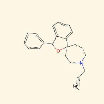 C#CCN1CCCC2(CC1)OC(c1ccccc1)c1ccccc12